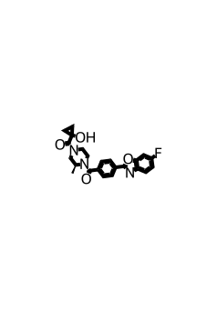 C[C@H]1CN(C(=O)C2(O)CC2)CCN1C(=O)c1ccc(-c2nc3ccc(F)cc3o2)cc1